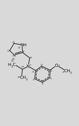 COc1cccc(N(CC2=NCCN2)C(C)C)c1